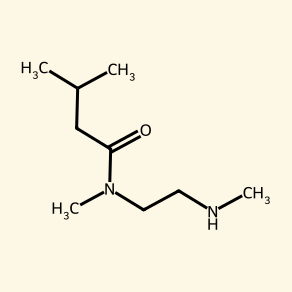 CNCCN(C)C(=O)CC(C)C